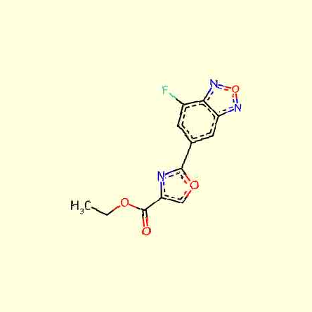 CCOC(=O)c1coc(-c2cc(F)c3nonc3c2)n1